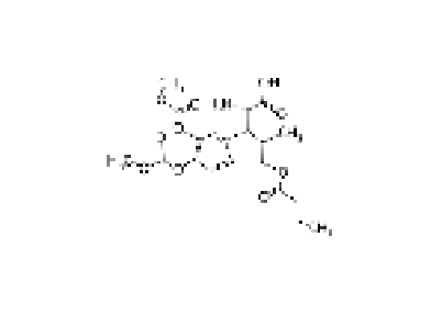 CCCC(=O)OCC(C)C(c1ccc(OC(=O)OC)c(OC(=O)OC)c1)[C@H](N)C(=O)O